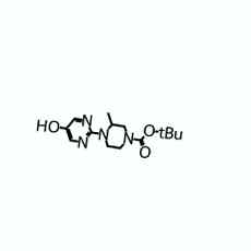 CC1CN(C(=O)OC(C)(C)C)CCN1c1ncc(O)cn1